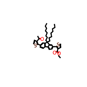 CCCCCCCCC1(CCCCCCCC)c2cc(-c3sccc3C(C)=O)ccc2-c2ccc(-c3sccc3C(=O)OCC)cc21